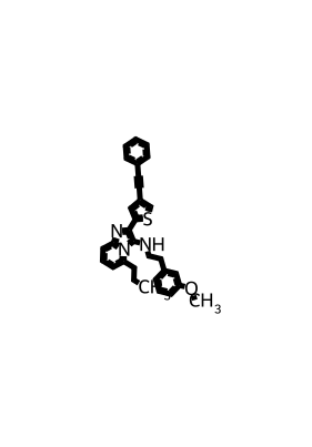 CCCc1cccc2nc(-c3cc(C#Cc4ccccc4)cs3)c(NCCc3cccc(OC)c3)n12